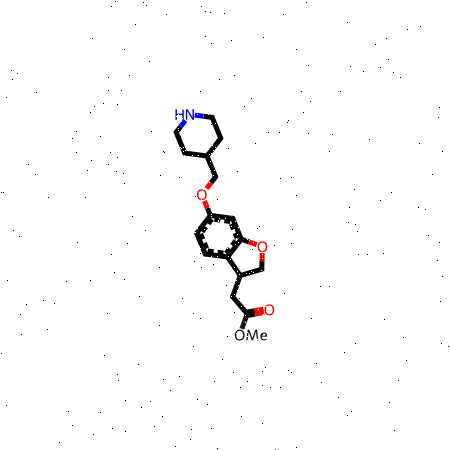 COC(=O)CC1COc2cc(OCC3CCNCC3)ccc21